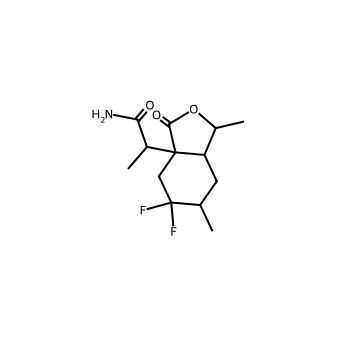 CC1OC(=O)C2(C(C)C(N)=O)CC(F)(F)C(C)CC12